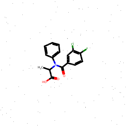 CC(C(=O)O)N(C(=O)c1ccc(F)c(Cl)c1)c1ccccc1